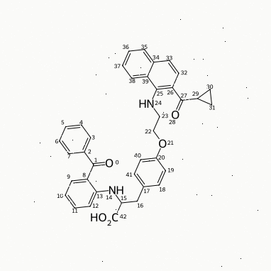 O=C(c1ccccc1)c1ccccc1NC(Cc1ccc(OCCNc2c(C(=O)C3CC3)ccc3ccccc23)cc1)C(=O)O